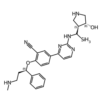 CNCC[C@@H](Oc1ccc(-c2ccnc(NC([SiH3])[C@H]3CNC[C@@H]3O)n2)cc1C#N)c1ccccc1